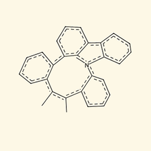 Cc1c(C)c2ccccc2n2c3ccccc3c3cccc(c4ccccc14)c32